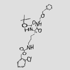 CC(C)(C)OC(=O)N[C@@H](CCCCNC(=O)OCc1ccccc1Cl)C(=O)NCCOCc1ccccc1